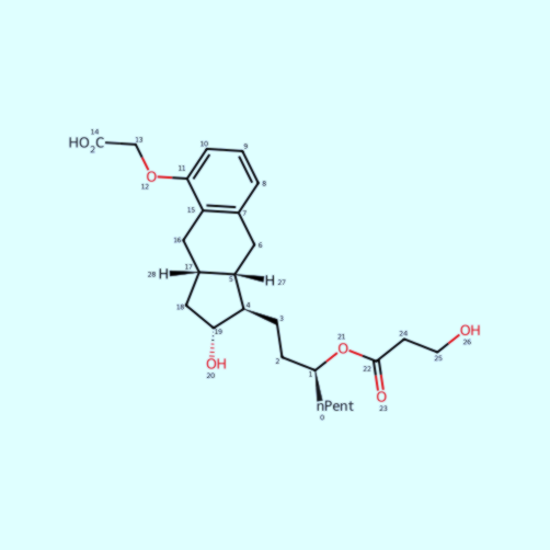 CCCCC[C@@H](CC[C@@H]1[C@H]2Cc3cccc(OCC(=O)O)c3C[C@H]2C[C@H]1O)OC(=O)CCO